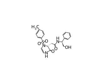 Cc1ccc(S(=O)(=O)N2C=CNC(=O)[C@H]2CC(=O)N[C@H](CO)c2ccccc2)cc1